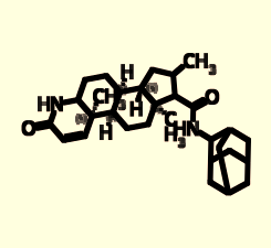 CC1C[C@H]2[C@@H]3CCC4NC(=O)C=C[C@]4(C)[C@@H]3CC[C@]2(C)C1C(=O)NC1C2CC3CC(C2)CC1C3